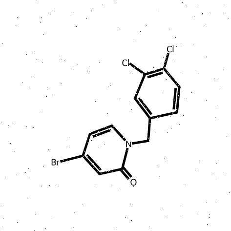 O=c1cc(Br)ccn1Cc1ccc(Cl)c(Cl)c1